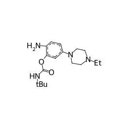 CCN1CCN(c2ccc(N)c(OC(=O)NC(C)(C)C)c2)CC1